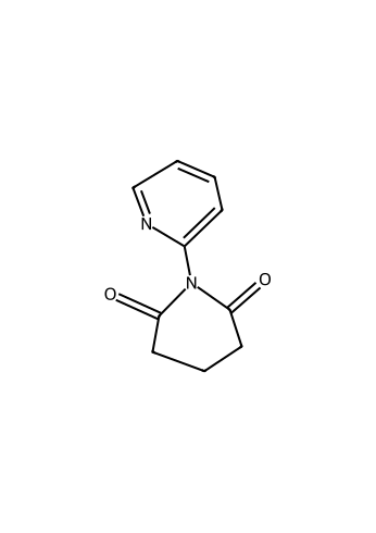 O=C1CCCC(=O)N1c1ccccn1